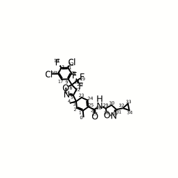 CC1=CC(C)(C2=NOC(c3cc(Cl)c(F)c(Cl)c3)(C(F)(F)F)C2)CC=C1C(=O)NC1CC(C2CC2)=NO1